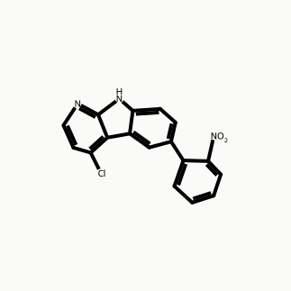 O=[N+]([O-])c1ccccc1-c1ccc2[nH]c3nccc(Cl)c3c2c1